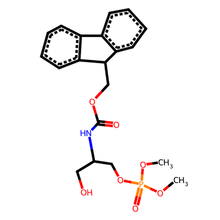 COP(=O)(OC)OCC(CO)NC(=O)OCC1c2ccccc2-c2ccccc21